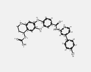 O=C(O)OC1CCOc2cc(Oc3ccc(C(=O)Nc4cc(-c5ccc(Cl)cc5)ccn4)cc3)c(Cl)cc21